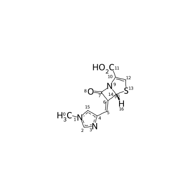 Cn1cnc(C=C2C(=O)N3C(C(=O)O)=CS[C@H]23)c1